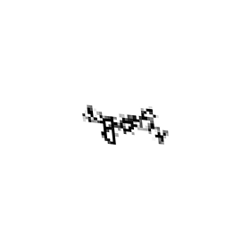 CN1C2CCC1c1c(-c3ccc4nc(C5CCCN5C(=O)OC(C)(C)C)[nH]c4c3)ccc(OS(=O)(=O)C(F)(F)F)c12